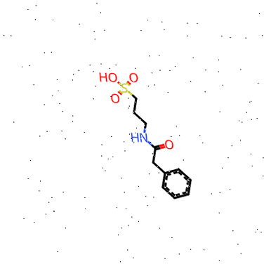 O=C(Cc1ccccc1)NCCCS(=O)(=O)O